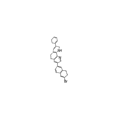 BrC1=Cc2ccc(-c3cnc4c(c3)CCC3=C4NCC(C4=CC=CCC4)=C3)cc2CC1